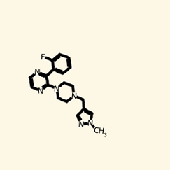 Cn1cc(CN2CCN(c3nccnc3-c3ccccc3F)CC2)cn1